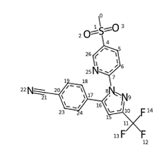 CS(=O)(=O)c1ccc(-n2nc(C(F)(F)F)cc2-c2ccc(C#N)cc2)nc1